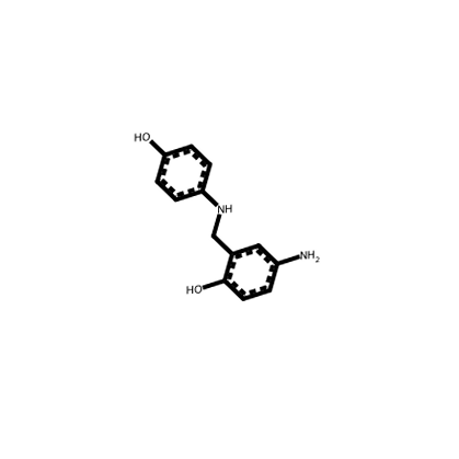 Nc1ccc(O)c(CNc2ccc(O)cc2)c1